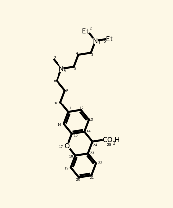 CCN(CC)CCCN(C)CCCc1ccc2c(c1)Oc1ccccc1C2C(=O)O